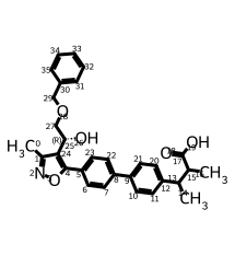 Cc1noc(-c2ccc(-c3ccc(C(C)C(C)C(=O)O)cc3)cc2)c1[C@@H](O)COCc1ccccc1